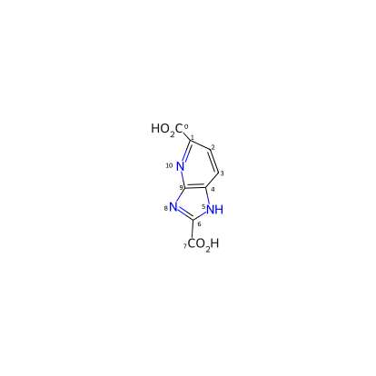 O=C(O)c1ccc2[nH]c(C(=O)O)nc2n1